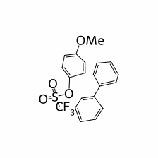 COc1ccc(OS(=O)(=O)C(F)(F)F)cc1.c1ccc(-c2ccccc2)cc1